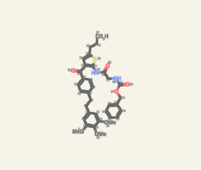 COc1cc(CCc2ccc(C(=O)c3cc(CCC(=O)O)sc3NC(=O)CNC(=O)OCc3ccccc3)cc2)cc(OC)c1OC